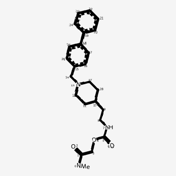 CNC(=O)COC(=O)NCCC1CCN(Cc2ccc(-c3ccccc3)cc2)CC1